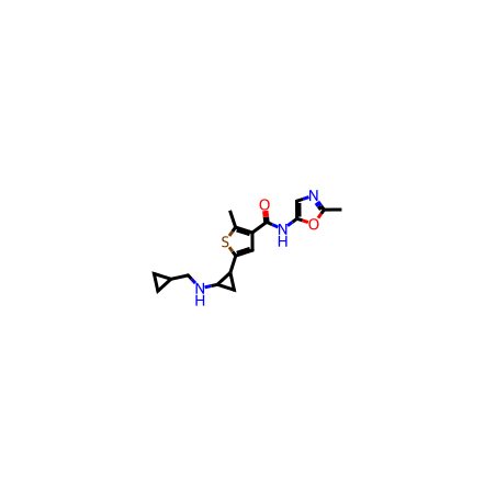 Cc1ncc(NC(=O)c2cc(C3CC3NCC3CC3)sc2C)o1